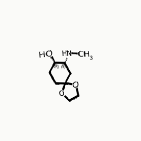 CN[C@@H]1CC2(CC[C@H]1O)OCCO2